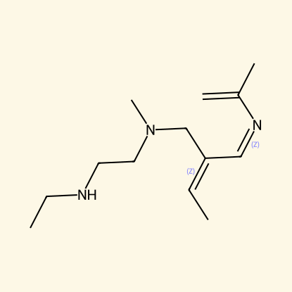 C=C(C)/N=C\C(=C/C)CN(C)CCNCC